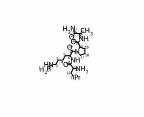 BNCCCCC(NC(=O)C(N)CC(C)C)C(=O)N1CCCC1C(=O)NC(C)C(N)=O